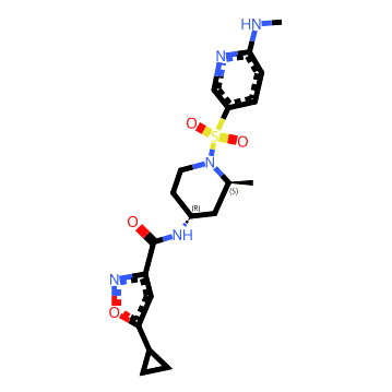 CNc1ccc(S(=O)(=O)N2CC[C@@H](NC(=O)c3cc(C4CC4)on3)C[C@@H]2C)cn1